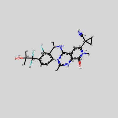 Cc1nc(N[C@H](C)c2cccc(C(F)(F)C(C)(C)O)c2F)c2cc(C3(C#N)CC3)n(C)c(=O)c2n1